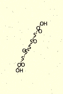 O=C(CCSCCC[S+]([O-])CCSCCSC(=O)CCSCCC(=O)OCCO)OCCO